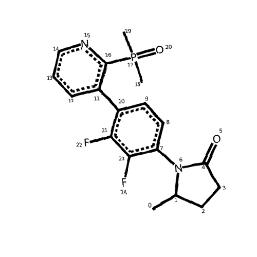 CC1CCC(=O)N1c1ccc(-c2cccnc2P(C)(C)=O)c(F)c1F